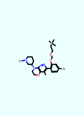 CCN1CCC[C@@H](N2CCOc3c2nnc(-c2ccc(C#N)cc2OCOCC[Si](C)(C)C)c3C)C1